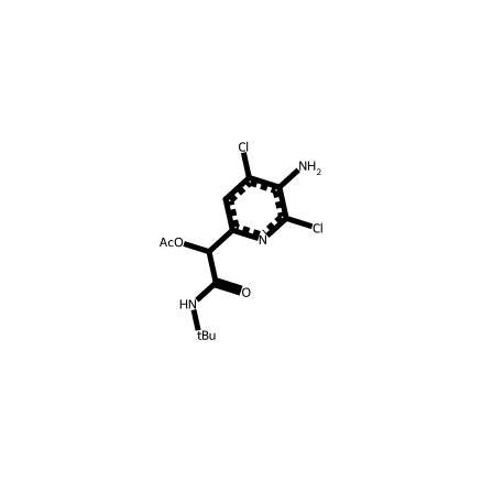 CC(=O)OC(C(=O)NC(C)(C)C)c1cc(Cl)c(N)c(Cl)n1